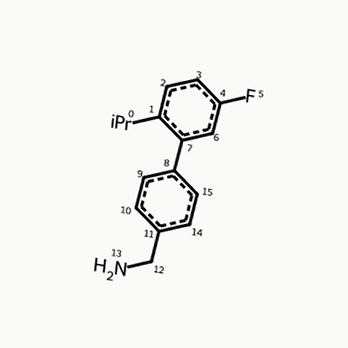 CC(C)c1ccc(F)cc1-c1ccc(CN)cc1